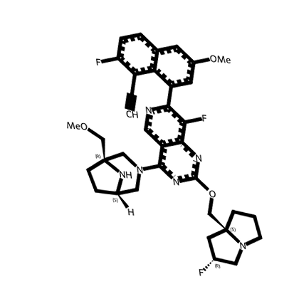 C#Cc1c(F)ccc2cc(OC)cc(-c3ncc4c(N5C[C@@H]6CC[C@](COC)(C5)N6)nc(OC[C@@]56CCCN5C[C@H](F)C6)nc4c3F)c12